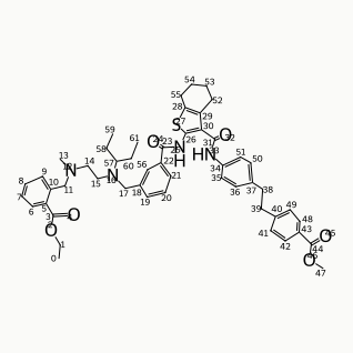 CCOC(=O)c1ccccc1CN(C)CCN(Cc1cccc(C(=O)Nc2sc3c(c2C(=O)Nc2ccc(CCc4ccc(C(=O)OC)cc4)cc2)CCCC3)c1)C(CC)CC